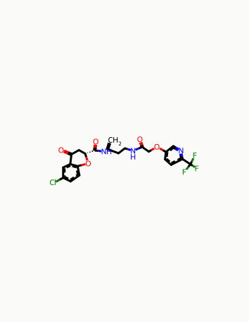 C=C(CCNC(=O)COc1ccc(C(F)(F)F)nc1)NC(=O)[C@H]1CC(=O)c2cc(Cl)ccc2O1